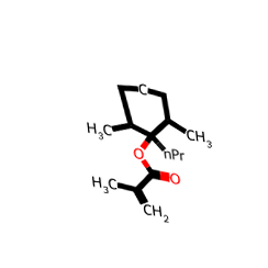 C=C(C)C(=O)OC1(CCC)C(C)CCCC1C